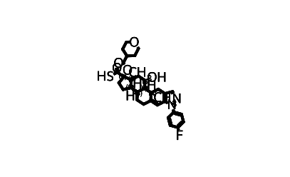 C[C@]12Cc3cnn(-c4ccc(F)cc4)c3C=C1CC[C@@H]1[C@@H]2[C@@H](O)C[C@@]2(C)[C@H]1CC[C@]2(OC(=O)C1CCOCC1)C(=O)S